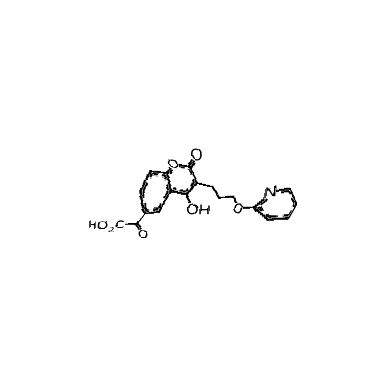 O=C(O)C(=O)c1ccc2oc(=O)c(CCCOc3ccccn3)c(O)c2c1